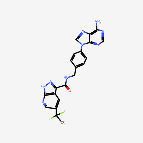 Nc1ncnc2c1ncn2-c1ccc(CNC(=O)c2n[nH]c3ncc(C(F)(F)C(F)(F)F)cc23)cc1